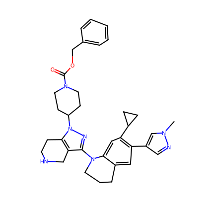 Cn1cc(-c2cc3c(cc2C2CC2)N(c2nn(C4CCN(C(=O)OCc5ccccc5)CC4)c4c2CNCC4)CCC3)cn1